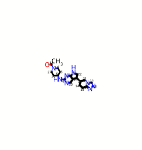 CC(=O)N1CCC(Nc2ncc3c(-c4ccc5nncn5c4)c[nH]c3n2)CC1